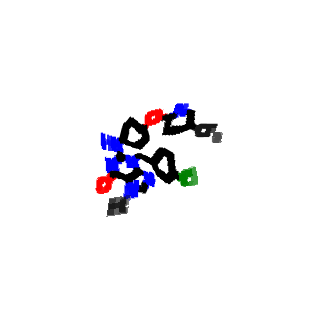 CCn1cnc2c1c(=O)nc(Nc1ccc(Oc3ccc(C(F)(F)F)cn3)cc1)n2Cc1ccc(Cl)cc1